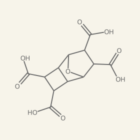 O=C(O)C1C2OC(C1C(=O)O)C1C(C(=O)O)C(C(=O)O)C21